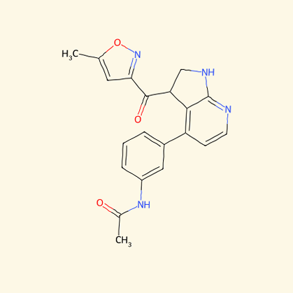 CC(=O)Nc1cccc(-c2ccnc3c2C(C(=O)c2cc(C)on2)CN3)c1